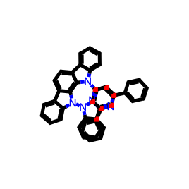 c1ccc(-c2cc(-n3c4ccccc4c4ccc5c6ccccc6n(-n6c7ccccc7c7ccccc76)c5c43)nc(-c3ccccc3)n2)cc1